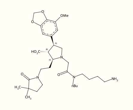 CCCCN(CCCCN)C(=O)CN1C[C@H](c2cc(OC)c3c(c2)OCO3)[C@@H](C(=O)O)[C@@H]1CCN1CCC(C)(C)C1=O